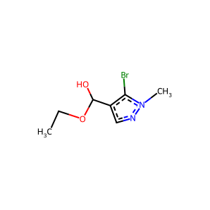 CCOC(O)c1cnn(C)c1Br